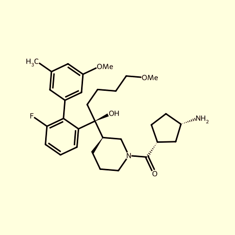 COCCCC[C@@](O)(c1cccc(F)c1-c1cc(C)cc(OC)c1)[C@@H]1CCCN(C(=O)[C@@H]2CC[C@H](N)C2)C1